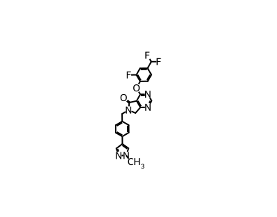 Cn1cc(-c2ccc(CN3Cc4ncnc(Oc5ccc(C(F)F)cc5F)c4C3=O)cc2)cn1